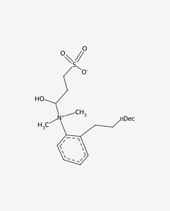 CCCCCCCCCCCCc1ccccc1[N+](C)(C)C(O)CCS(=O)(=O)[O-]